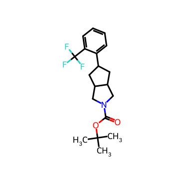 CC(C)(C)OC(=O)N1CC2CC(c3ccccc3C(F)(F)F)CC2C1